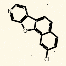 Clc1ccc2ccc3c4ccncc4oc3c2c1